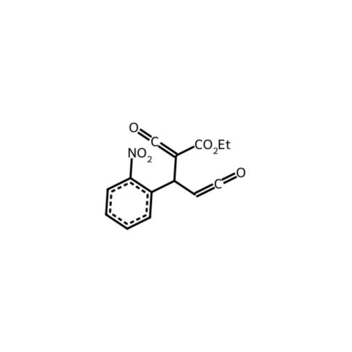 CCOC(=O)C(=C=O)C(C=C=O)c1ccccc1[N+](=O)[O-]